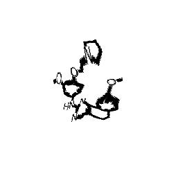 COc1ccc2c(c1)-c1nc(Nc3ccc(OCCN4CCCC4)c(OC)c3)ncc1CC2